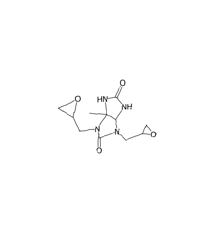 CC12NC(=O)NC1N(CC1CO1)C(=O)N2CC1CO1